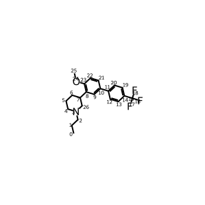 CCCN1CCCC(c2cc(-c3ccc(C(F)(F)F)cc3)ccc2OC)C1